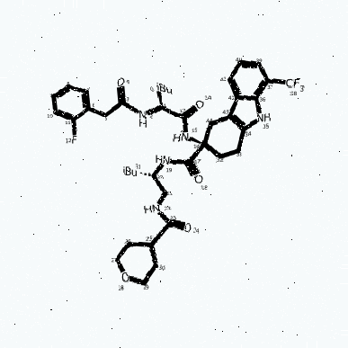 CCC(C)[C@H](NC(=O)Cc1ccccc1F)C(=O)N[C@]1(C(=O)NC(CNC(=O)C2CCOCC2)[C@@H](C)CC)CCc2[nH]c3c(C(F)(F)F)cccc3c2C1